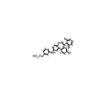 O=C(O)Cc1cccc(Nc2cc3c(cn2)CN=C(c2c(F)cccc2F)c2cc(Cl)ccc2-3)c1